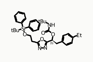 CCc1ccc(C[C@H](OC(=O)NC(C)(C)C)c2nnc(CCO[Si](c3ccccc3)(c3ccccc3)C(C)(C)C)o2)cc1